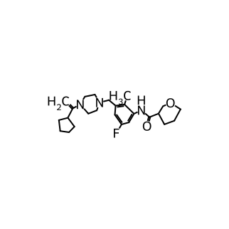 C=C(C1CCCC1)N1CCN(Cc2cc(F)cc(NC(=O)C3CCCOC3)c2C)CC1